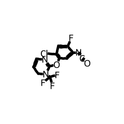 O=C=Nc1cc(OC2=NC=CCN2C(F)(F)F)c(Cl)cc1F